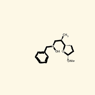 CO[C@H]1CC[C@@H]([C@H](C)CN(O)Cc2ccccc2)O1